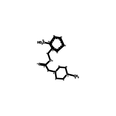 CN1CCN(CC(=O)OCc2ccccc2C(=O)O)CC1